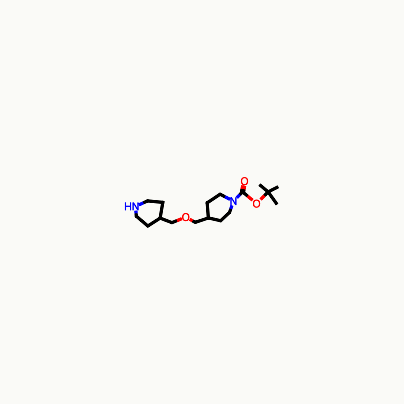 CC(C)(C)OC(=O)N1CCC(COCC2CCNCC2)CC1